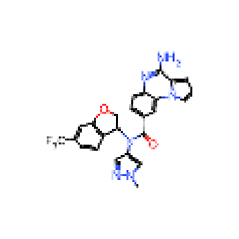 Cn1cc(N(C(=O)c2ccc3nc(N)c4cccn4c3c2)C2COc3cc(C(F)(F)F)ccc32)cn1